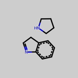 C1=Nc2ccccc2C1.C1CCNC1